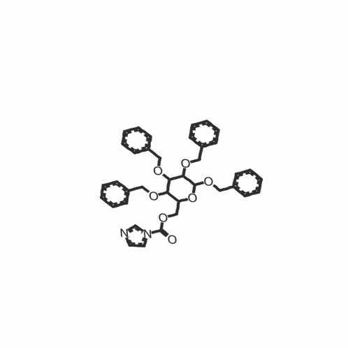 O=C(OCC1OC(OCc2ccccc2)C(OCc2ccccc2)C(OCc2ccccc2)C1OCc1ccccc1)n1ccnc1